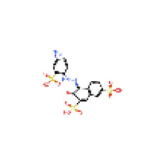 Nc1ccc(N/N=C2\C(=O)C(S(=O)(=O)O)=Cc3cc(S(=O)(=O)O)ccc32)c(S(=O)(=O)O)c1